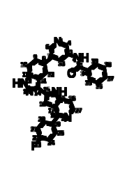 O=C(Nc1cncc(-c2ccc3[nH]nc(-c4cc5c(-c6ccc(F)cc6)nccc5[nH]4)c3c2)c1)c1ccccc1